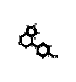 N#Cc1ccc(C2COCc3cncn32)cc1